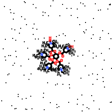 CCN1C(C)(C)CC(C(=O)OC2CC(OC(=O)C3CC(C)(C)N(O)C(C)(C)C3)C(OC(=O)C3CC(C)(C)N(O)C(C)(C)C3)C(OC(=O)C3CC(C)(C)N(CC)C(C)(C)C3)C2OC(=O)C2CC(C)(C)N(CC)C(C)(C)C2)CC1(C)C